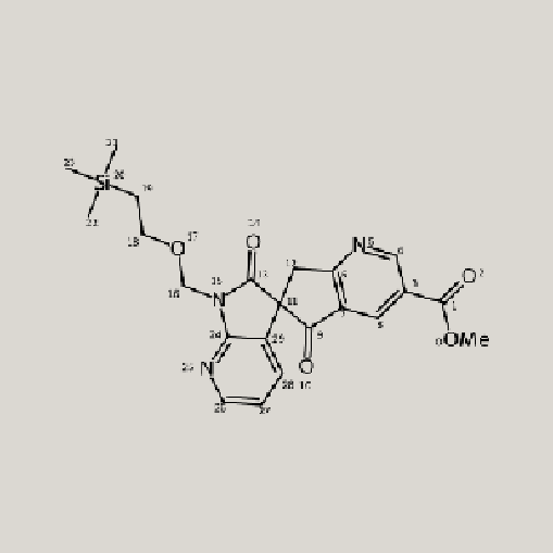 COC(=O)c1cnc2c(c1)C(=O)C1(C2)C(=O)N(COCC[Si](C)(C)C)c2ncccc21